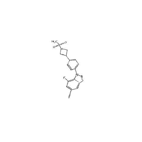 CS(=O)(=O)N1CC(c2ccc(-n3ncc4cc(F)cc(F)c43)cc2)C1